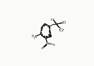 Nc1ccc(C(Cl)(Cl)Cl)cc1[N+](=O)[O-]